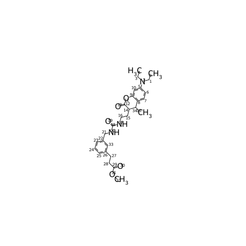 CCN(CC)c1ccc2c(c1)OC(=O)C(CCNC(=O)NCc1cccc(CCC(=O)OC)c1)C2C